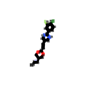 CC/C=C/[C@H]1CO[C@H](C#Cc2cnc(-c3ccc(Cl)c(F)c3)nc2)OC1